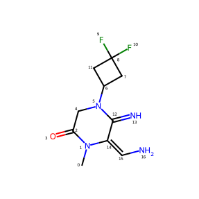 CN1C(=O)CN(C2CC(F)(F)C2)C(=N)/C1=C\N